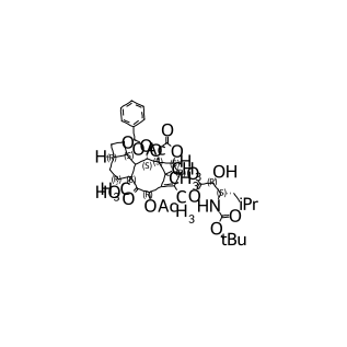 CC(=O)O[C@H]1C(=O)[C@@]2(C)C([C@H](OC(=O)c3ccccc3)[C@]34OC(=O)O[C@H]3[C@H](OC(=O)[C@H](O)[C@H](CC(C)C)NC(=O)OC(C)(C)C)C(C)=C1C4(C)C)[C@]1(OC(C)=O)CC[C@@H]1C[C@H]2O